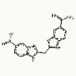 N=C(N)c1ccc2[nH]c(Cc3nc4cc([N+](=O)[O-])ccc4[nH]3)nc2c1